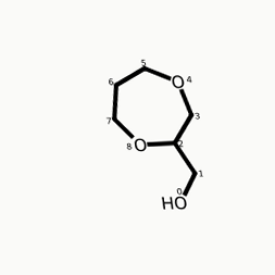 OCC1COCCCO1